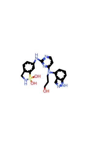 OCCCN(c1ccnc(Nc2ccc3c(c2)S(O)(O)NC3)n1)c1cccc2[nH]ncc12